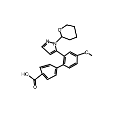 COc1ccc(-c2ccc(C(=O)O)cc2)c(-c2ccnn2C2CCCCO2)c1